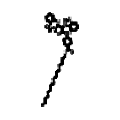 CCCCCCCCCCCCCCCCOC(=O)c1ccc(NC(=O)C(C2=Nc3ccccc3S(=O)(=O)N2C)n2nnc3ccccc32)cc1